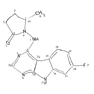 C[C@H]1CCC(=O)N1Nc1ncnc2[nH]c3cc(F)ccc3c12